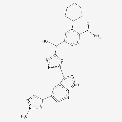 Cn1cc(-c2cnc3[nH]cc(-c4nnc(C(O)c5ccc(C(N)=O)c(C6CCCCC6)c5)o4)c3c2)cn1